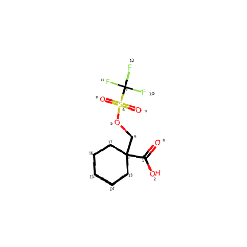 O=C(O)C1(COS(=O)(=O)C(F)(F)F)CCCCC1